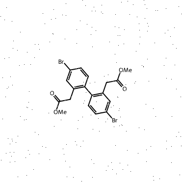 COC(=O)Cc1cc(Br)ccc1-c1ccc(Br)cc1CC(=O)OC